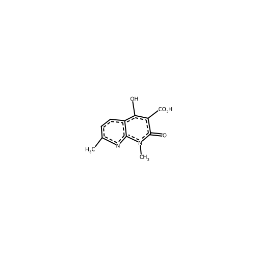 Cc1ccc2c(O)c(C(=O)O)c(=O)n(C)c2n1